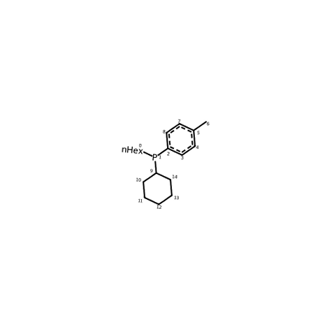 CCCCCCP(c1ccc(C)cc1)C1CCCCC1